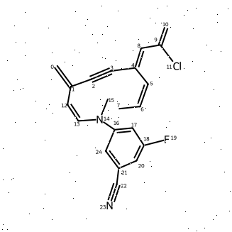 C=C(C#CC(/C=C\C)=C/C(=C)Cl)/C=C\N(C)c1cc(F)cc(C#N)c1